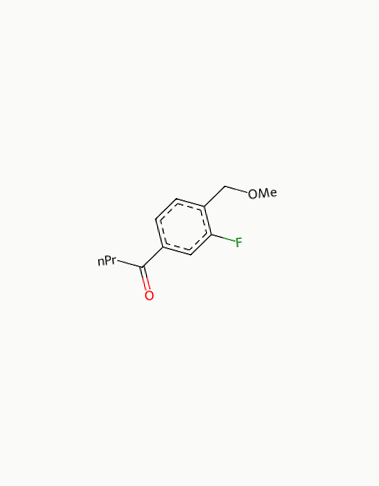 CCCC(=O)c1ccc(COC)c(F)c1